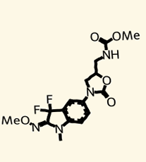 CON=C1N(C)c2ccc(N3CC(CNC(=O)OC)OC3=O)cc2C1(F)F